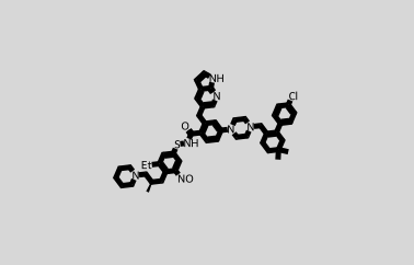 CCc1cc(SNC(=O)c2ccc(N3CCN(CC4=C(c5ccc(Cl)cc5)CC(C)(C)CC4)CC3)cc2Cc2cnc3[nH]ccc3c2)cc(N=O)c1C[C@@H](C)CN1CCCCC1